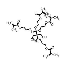 C=C(C)C(=O)OCCOOC(OCCOC(=O)C(=C)C)(OCCOC(=O)C(=C)C)C(CO)(CO)C(O)OCCOC(=O)C(=C)C